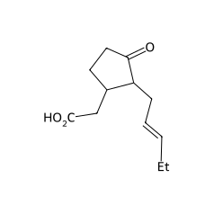 CCC=CCC1C(=O)CCC1CC(=O)O